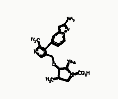 CC1CN(C(=O)O)C(C(C)(C)C)C1OCc1cnn(C)c1-c1ccn2nc(N)cc2c1